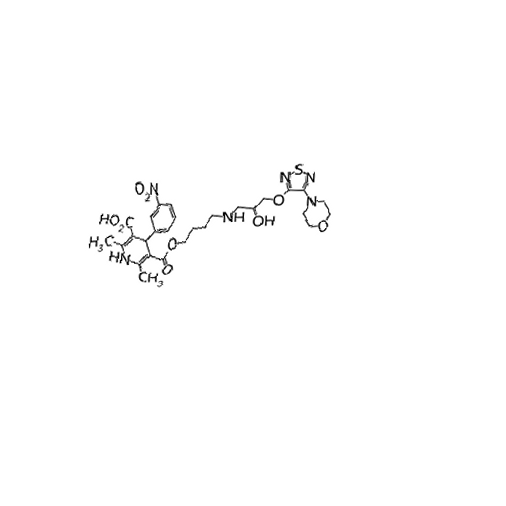 CC1=C(C(=O)O)C(c2cccc([N+](=O)[O-])c2)C(C(=O)OCCCCNCC(O)COc2nsnc2N2CCOCC2)=C(C)N1